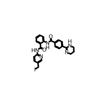 O=C(Nc1ccccc1C(=O)Nc1ccc(CI)cn1)c1ccc(C2=NCCCN2)cc1